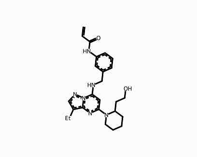 C=CC(=O)Nc1cccc(CNc2cc(N3CCCCC3CCO)nc3c(CC)cnn23)c1